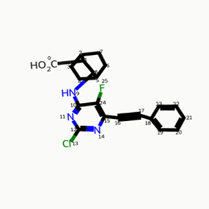 O=C(O)C1C2CCC(CC2)C1Nc1nc(Cl)nc(C#Cc2ccccc2)c1F